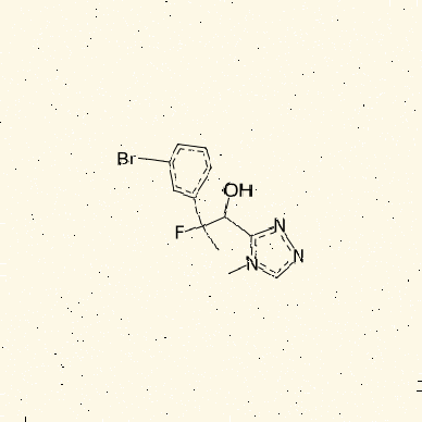 Cn1cnnc1C(O)C(C)(F)c1cccc(Br)c1